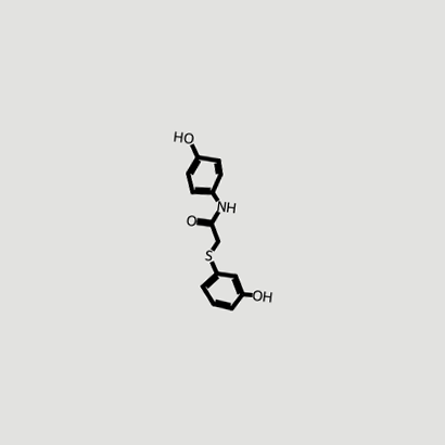 O=C(CSc1cccc(O)c1)Nc1ccc(O)cc1